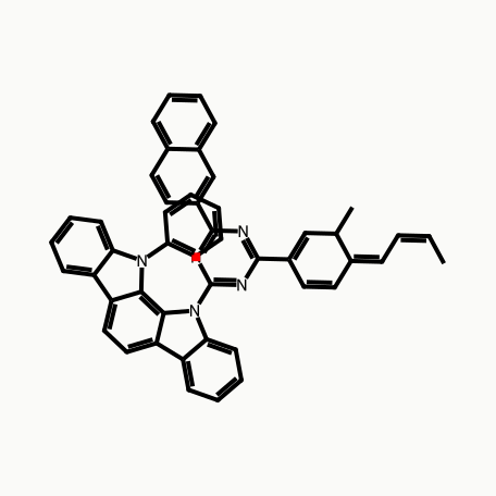 C/C=C\C=C1\C=CC(c2nc(-c3ccc4ccccc4c3)nc(-n3c4ccccc4c4ccc5c6ccccc6n(-c6ccccc6)c5c43)n2)=CC1C